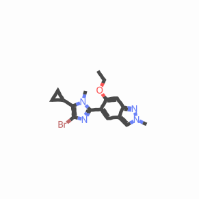 CCOc1cc2nn(C)cc2cc1-c1nc(Br)c(C2CC2)n1C